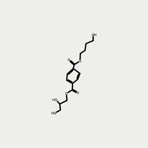 O=C(OCCCCO)c1ccc(C(=O)OCC(O)CO)cc1